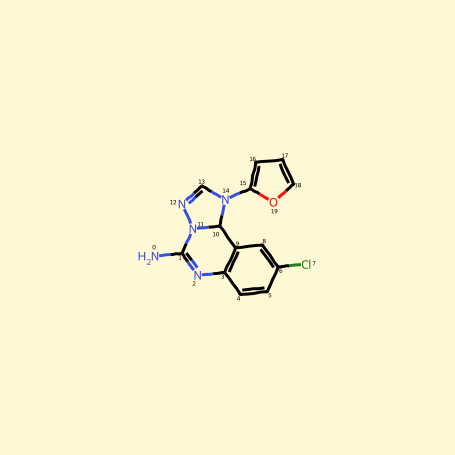 NC1=Nc2ccc(Cl)cc2C2N1N=CN2c1ccco1